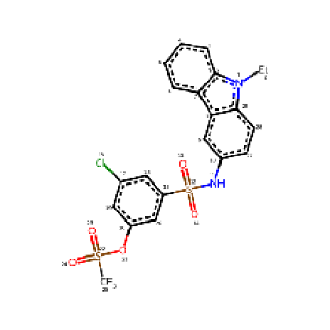 CCn1c2ccccc2c2cc(NS(=O)(=O)c3cc(Cl)cc(OS(=O)(=O)C(F)(F)F)c3)ccc21